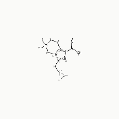 CC1(C)CCc2c(C(=O)O)nn(CC3CC3)c2C1